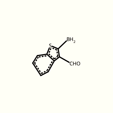 Bc1sc2ccccc2c1C=O